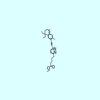 CCOC(=O)CCCCc1ccc(C#Cc2cc3c(cc2C)SCCC3(CC)CC)nn1